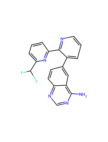 Nc1ncnc2ccc(-c3cccnc3-c3cccc(C(F)F)n3)cc12